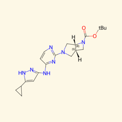 CC(C)(C)OC(=O)N1C[C@@H]2CN(c3nccc(Nc4cc(C5CC5)[nH]n4)n3)C[C@@H]21